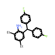 CCc1cc(CC)c(N)c(C(c2ccc(F)cc2)c2ccc(F)cc2)c1